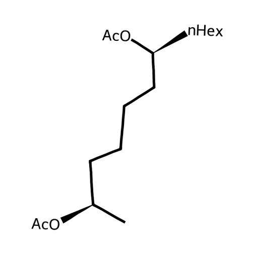 CCCCCC[C@@H](CCCC[C@@H](C)OC(C)=O)OC(C)=O